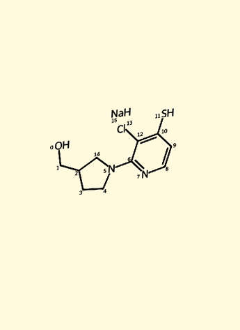 OCC1CCN(c2nccc(S)c2Cl)C1.[NaH]